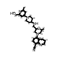 Cc1cc(N2CCC(NCC3CN(c4ccc(C#N)c5ncccc45)CC(C)O3)CC2)cc(CO)n1